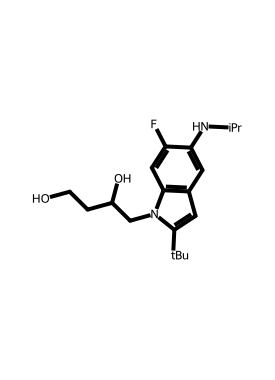 CC(C)Nc1cc2cc(C(C)(C)C)n(CC(O)CCO)c2cc1F